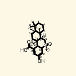 CC1(C)CCC[C@]2(C)[C@H]3CS(=O)(=O)C4C=C(O)C=C(C(=O)O)C4[C@]3(C)CC[C@@H]12